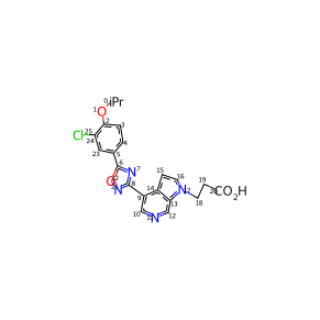 CC(C)Oc1ccc(-c2nc(-c3cncc4c3ccn4CCC(=O)O)no2)cc1Cl